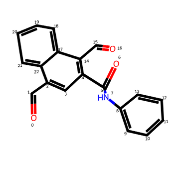 O=Cc1cc(C(=O)Nc2ccccc2)c(C=O)c2ccccc12